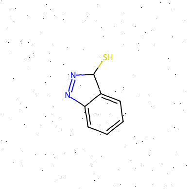 SC1N=Nc2ccccc21